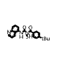 CC(C)(C)c1ccc(C(=O)N(S)C(=O)Nc2cccc3ncccc23)cc1